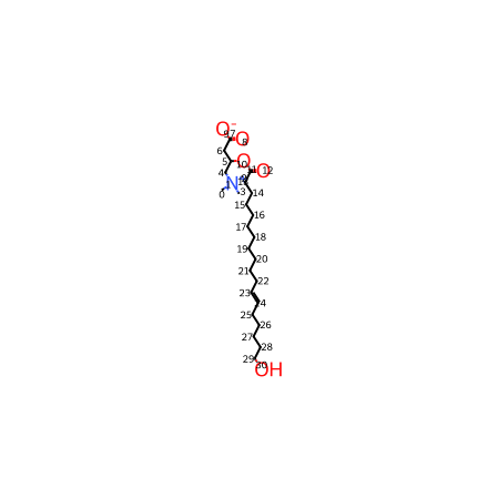 C[N+](C)(C)CC(CC(=O)[O-])OC(=O)CCCCCCCCCCC=CCCCCCO